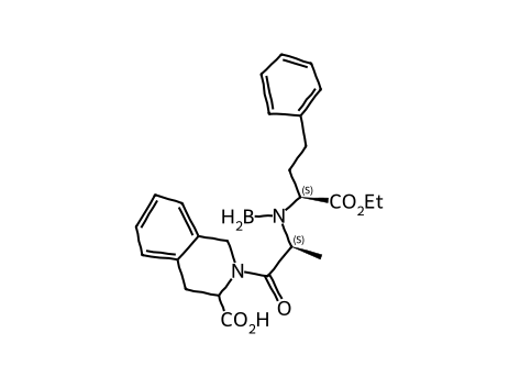 BN([C@@H](C)C(=O)N1Cc2ccccc2CC1C(=O)O)[C@@H](CCc1ccccc1)C(=O)OCC